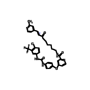 Cc1cc(/C=C/C(=O)CCCCCCNC(=O)c2cc(Oc3ccc(NC(=O)Nc4ccc(Cl)c(C(F)(F)F)c4)cc3)ccn2)ccn1